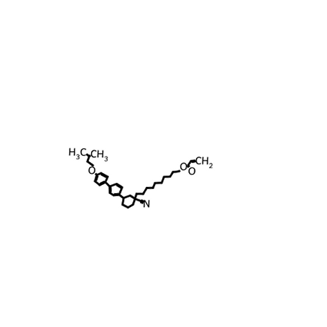 C=CC(=O)OCCCCCCCCCCC1(C#N)CCCC(c2ccc(-c3ccc(OCCC(C)C)cc3)cc2)C1